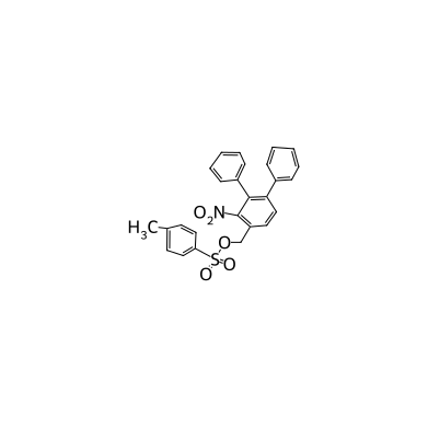 Cc1ccc(S(=O)(=O)OCc2ccc(-c3ccccc3)c(-c3ccccc3)c2[N+](=O)[O-])cc1